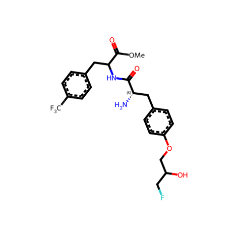 COC(=O)C(Cc1ccc(C(F)(F)F)cc1)NC(=O)[C@@H](N)Cc1ccc(OCC(O)CF)cc1